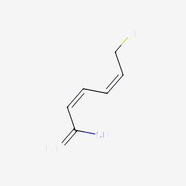 C=C(N)/C=C\C=C/CS